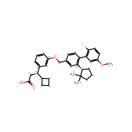 COc1ccc(F)c(-c2ccc(COc3cccc([C@H](CC(=O)O)C4CCC4)c3)cc2[C@H]2CCCC2(C)C)c1